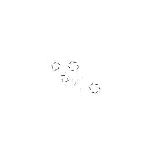 COc1cccc(OC)c1-n1c(NSC(C)Cc2ccc(Cl)cc2SC)nnc1-c1ccc(C)o1